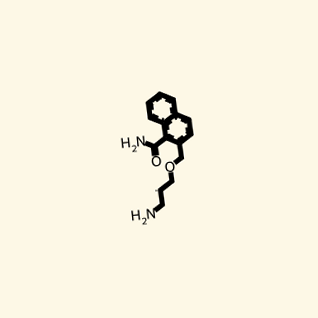 NC[CH]COCc1ccc2ccccc2c1C(N)=O